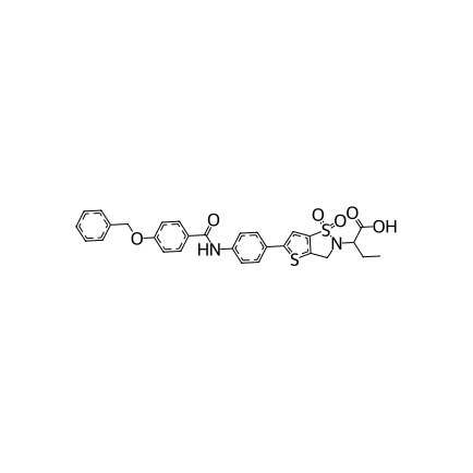 CCC(C(=O)O)N1Cc2sc(-c3ccc(NC(=O)c4ccc(OCc5ccccc5)cc4)cc3)cc2S1(=O)=O